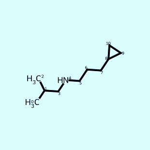 CC(C)CNCCCC1CC1